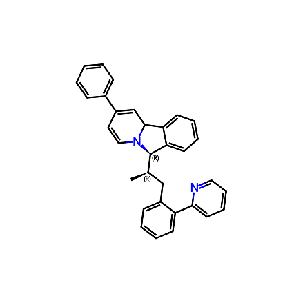 C[C@H](Cc1ccccc1-c1ccccn1)[C@@H]1c2ccccc2C2C=C(c3ccccc3)C=CN21